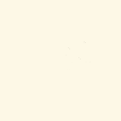 CN1C(=O)C(c2ccc(F)c(Br)c2)(c2ccc3c(c2)CCO3)N=C1N